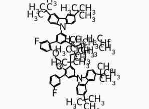 CC(C)(C)CC(C)(C)c1cc(-c2cc(F)ccc2OCCOc2c(-c3cccc(F)c3)cc(-n3c4ccc(C(C)(C)C)cc4c4cc(C(C)(C)C)ccc43)cc2C(C)(C)CC(C)(C)C)cc(-n2c3ccc(C(C)(C)C)cc3c3cc(C(C)(C)C)ccc32)c1.[CH3][Hf][CH3]